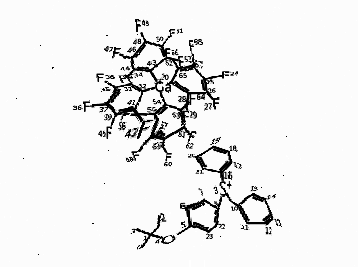 CC(C)(C)Oc1ccc([S+](c2ccccc2)c2ccccc2)cc1.Fc1c(F)c(F)[c]([Ga-]([c]2c(F)c(F)c(F)c(F)c2F)([c]2c(F)c(F)c(F)c(F)c2F)[c]2c(F)c(F)c(F)c(F)c2F)c(F)c1F